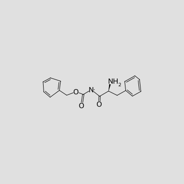 N[C@@H](Cc1ccccc1)C(=O)[N]C(=O)OCc1ccccc1